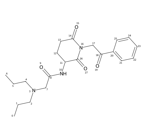 CCCN(CCC)CC(=O)NC1CCC(=O)N(CC(=O)c2ccccc2)C1=O